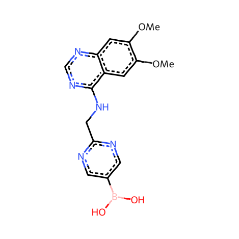 COc1cc2ncnc(NCc3ncc(B(O)O)cn3)c2cc1OC